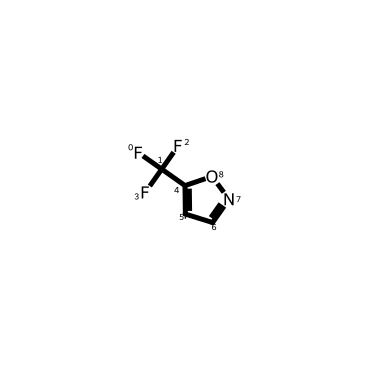 FC(F)(F)c1[c]cno1